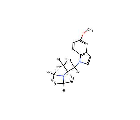 [2H]C([2H])([2H])N(C([2H])([2H])[2H])[C@@]([2H])(C([2H])([2H])[2H])C([2H])([2H])n1ccc2cc(OC)ccc21